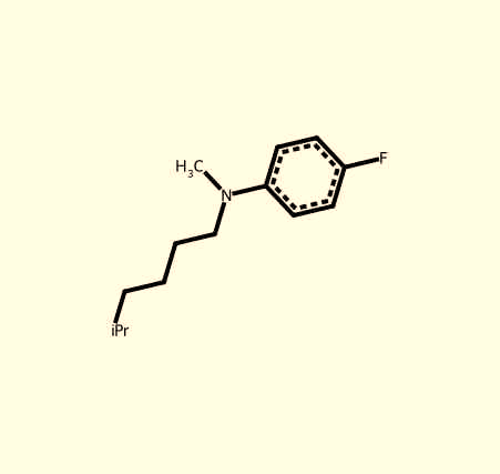 CC(C)CCCCN(C)c1ccc(F)cc1